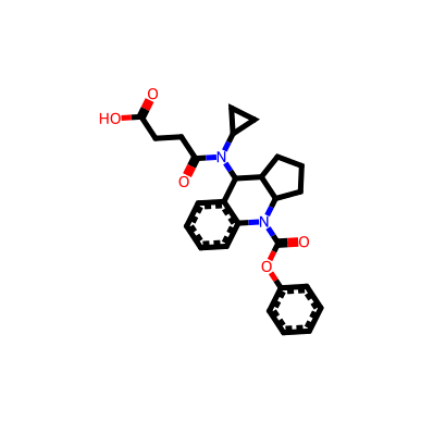 O=C(O)CCC(=O)N(C1CC1)C1c2ccccc2N(C(=O)Oc2ccccc2)C2CCCC21